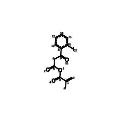 C=C(C)C(=O)OC(=O)CC(=O)c1ccccc1I